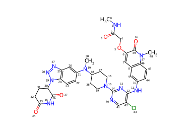 CNC(=O)COc1cc2cc(Nc3nc(N4CCC(N(C)c5ccc6c(c5)nnn6C5CCC(=O)NC5=O)CC4)ncc3Cl)ccc2n(C)c1=O